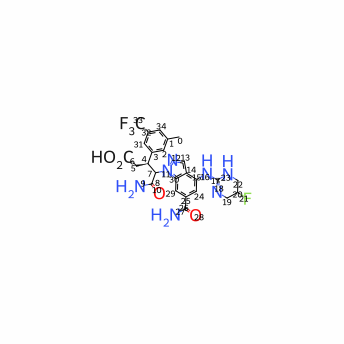 Cc1cc([C@H](CC(=O)O)C(C(N)=O)n2ncc3c(NC4=NCC(F)CN4)cc(C(N)=O)cc32)cc(C(F)(F)F)c1